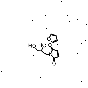 O=C1C=CC(=O)N1CC(O)CO.c1ccoc1